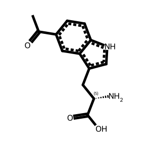 CC(=O)c1ccc2[nH]cc(C[C@H](N)C(=O)O)c2c1